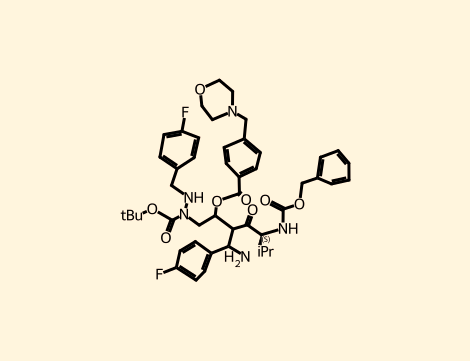 CC(C)[C@H](NC(=O)OCc1ccccc1)C(=O)C(C(CN(NCc1ccc(F)cc1)C(=O)OC(C)(C)C)OC(=O)c1ccc(CN2CCOCC2)cc1)C(N)c1ccc(F)cc1